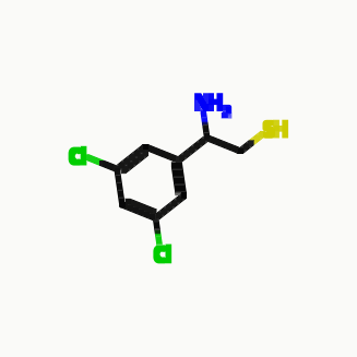 NC(CS)c1cc(Cl)cc(Cl)c1